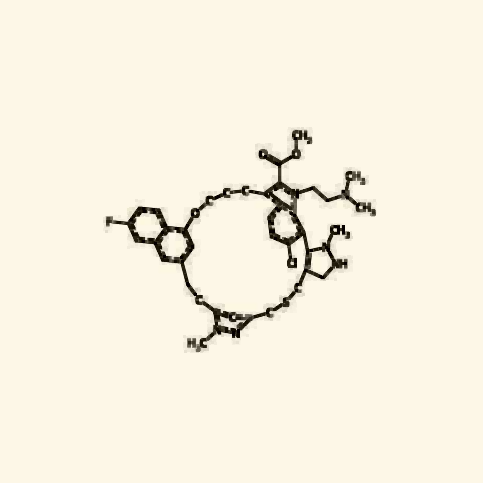 COC(=O)c1c2c3ccc(Cl)c(c3n1CCN(C)C)C1=C(CNN1C)CSCc1cc(n(C)n1)CCc1cc(c3ccc(F)cc3c1)OCCC2